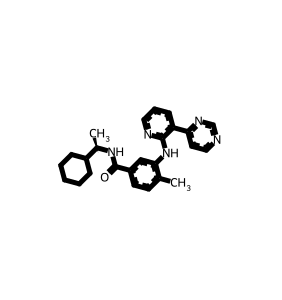 Cc1ccc(C(=O)N[C@H](C)C2CCCCC2)cc1Nc1ncccc1-c1ccncn1